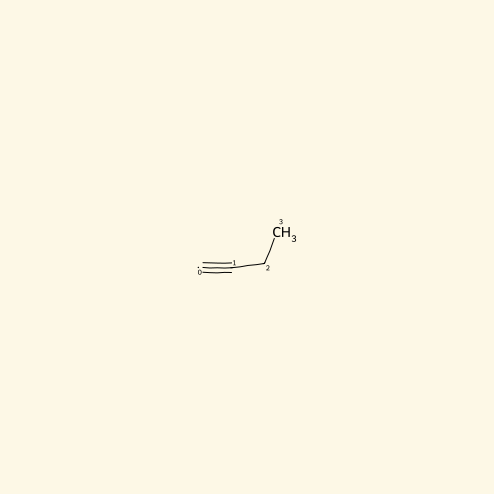 [C]#CCC